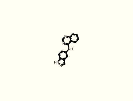 c1ccc2c(Nc3ccc4[nH]ncc4c3)ncnc2c1